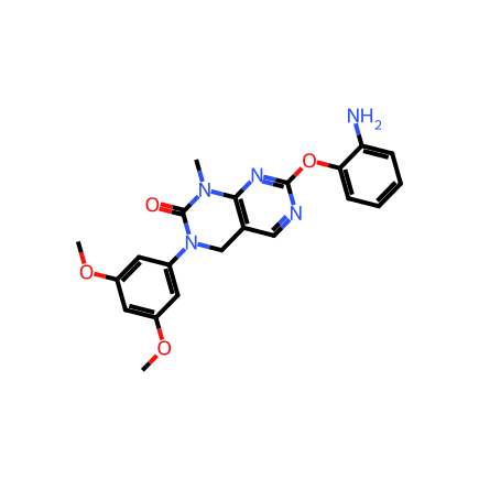 COc1cc(OC)cc(N2Cc3cnc(Oc4ccccc4N)nc3N(C)C2=O)c1